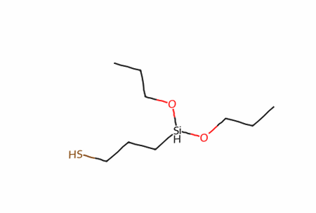 CCCO[SiH](CCCS)OCCC